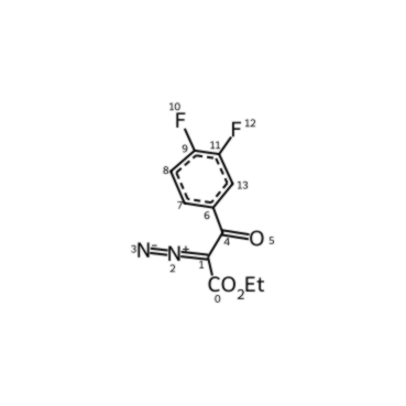 CCOC(=O)C(=[N+]=[N-])C(=O)c1ccc(F)c(F)c1